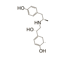 C[C@H](Cc1ccc(O)cc1)NC[C@@H](O)C1=CC=C(O)[CH]C1